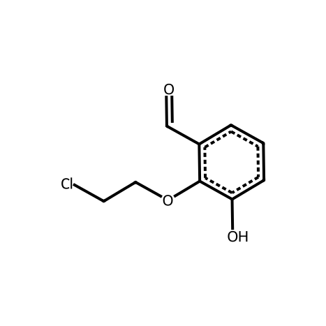 O=Cc1cccc(O)c1OCCCl